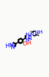 C[C@@H]1CN[C@@H](C)CN1c1ncc(-c2ccc(-c3cn[nH]c3)cc2O)nn1